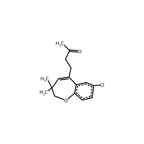 CC(=O)CCC1=CC(C)(C)COc2ccc(Cl)cc21